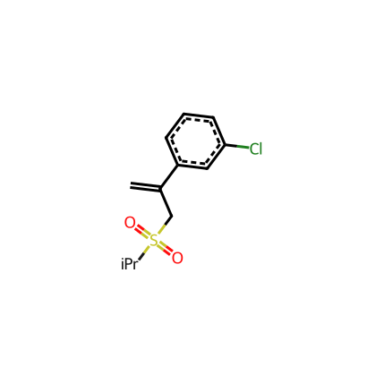 C=C(CS(=O)(=O)C(C)C)c1cccc(Cl)c1